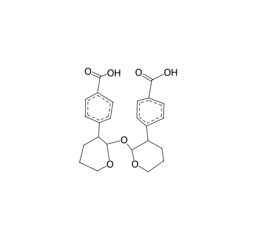 O=C(O)c1ccc(C2CCCOC2OC2OCCCC2c2ccc(C(=O)O)cc2)cc1